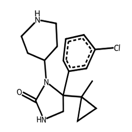 CC1(C2(c3cccc(Cl)c3)CNC(=O)N2C2CCNCC2)CC1